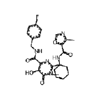 Cc1ncoc1C(=O)NC12CCC(CC1)Cn1c2nc(C(=O)NCc2ccc(F)cc2)c(O)c1=O